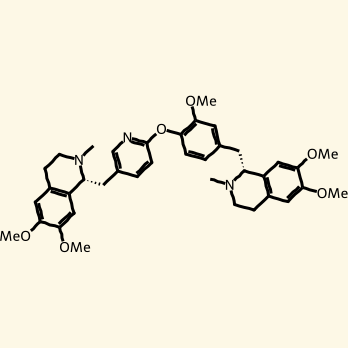 COc1cc2c(cc1OC)[C@@H](Cc1ccc(Oc3ccc(C[C@@H]4c5cc(OC)c(OC)cc5CCN4C)cc3OC)nc1)N(C)CC2